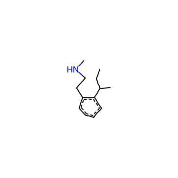 CCC(C)c1ccccc1CCNC